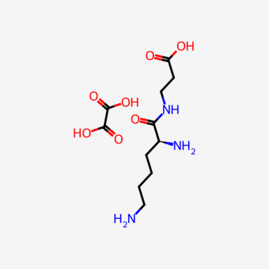 NCCCC[C@H](N)C(=O)NCCC(=O)O.O=C(O)C(=O)O